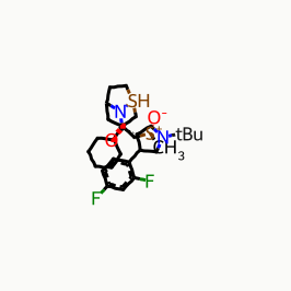 C[S+]([O-])CC1(C2CCCCC2)CC2CC[SH](C1)N2C(=O)[C@@H]1CN(C(C)(C)C)CC1c1ccc(F)cc1F